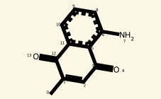 CC1=CC(=O)c2c(N)cccc2C1=O